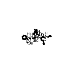 C#CCCC(NC(=O)[C@@H]1[C@@H]2C(CN1C(=O)[C@@H](NC(=O)NC1(CSC(C)(C)C)CCCCC1)C(C)(C)C)C2(C)C)C(=O)C(=O)NCC=C